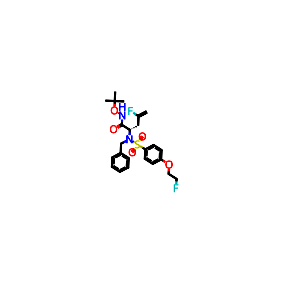 C=C(F)C[C@@H](C(=O)NOC(C)(C)C)N(Cc1ccccc1)S(=O)(=O)c1ccc(OCCF)cc1